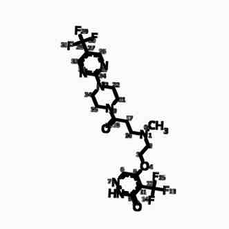 CN(CCOc1cn[nH]c(=O)c1C(F)(F)F)CCC(=O)N1CCN(c2ncc(C(F)(F)F)cn2)CC1